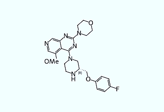 COc1cncc2nc(N3CCOCC3)nc(N3CCN[C@@H](COc4ccc(F)cc4)C3)c12